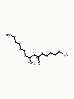 CCCCCCCC(C)OC(=O)CCCCCC